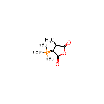 CCCCP(CCCC)(CCCC)=C1C(=O)OC(=O)C1C